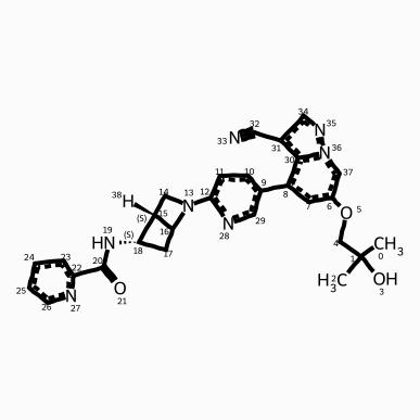 CC(C)(O)COc1cc(-c2ccc(N3C[C@@H]4C3C[C@@H]4NC(=O)c3ccccn3)nc2)c2c(C#N)cnn2c1